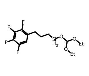 CCOC(OCC)O[SiH2]CCCc1cc(F)c(F)c(F)c1F